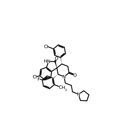 Cc1ccc(F)cc1[C@H]1N(CCCN2CCCC2)C(=O)C[C@@H](c2cccc(Cl)c2)[C@]12C(=O)Nc1cc(Cl)ccc12